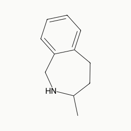 CC1CCc2ccccc2CN1